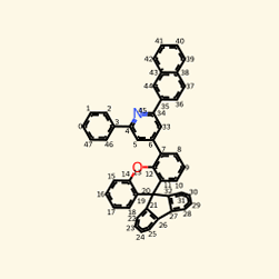 c1ccc(-c2cc(-c3cccc4c3Oc3ccccc3C43c4ccccc4-c4ccccc43)cc(-c3ccc4ccccc4c3)n2)cc1